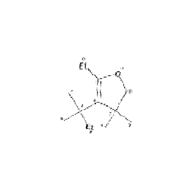 CCC1=C(C(C)(C)CC)C(C)(C)CO1